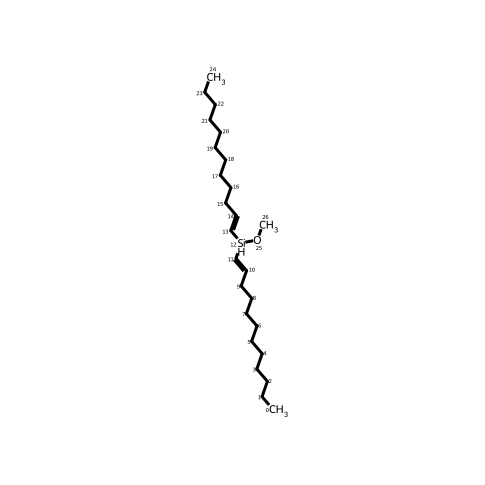 CCCCCCCCCCC=C[SiH](C=CCCCCCCCCCC)OC